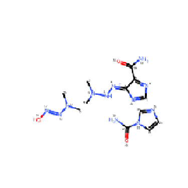 CN(C)N/N=C1\N=CN=C1C(N)=O.CN(C)N=NO.NC(=O)n1ccnc1